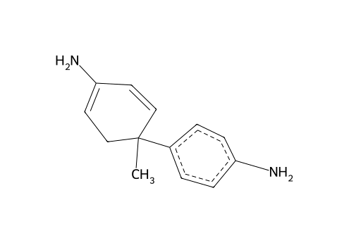 CC1(c2ccc(N)cc2)C=CC(N)=CC1